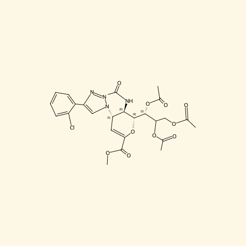 COC(=O)C1=C[C@H](n2cc(-c3ccccc3Cl)nn2)[C@@H](NC(C)=O)[C@H]([C@H](OC(C)=O)C(COC(C)=O)OC(C)=O)O1